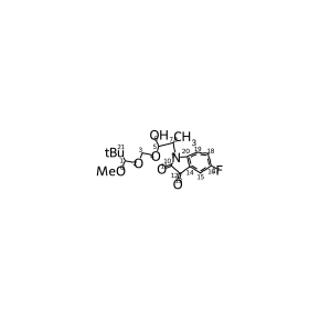 COC(OCOC(O)C(C)N1C(=O)C(=O)c2cc(F)ccc21)C(C)(C)C